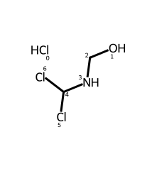 Cl.OCNC(Cl)Cl